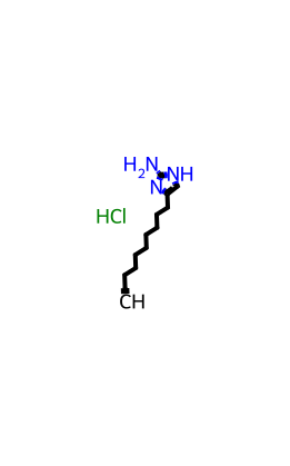 C#CCCCCCCCCc1c[nH]c(N)n1.Cl